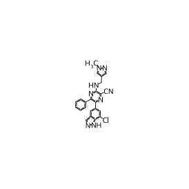 Cn1cc(CNc2nc(-c3ccccc3)c(-c3cc(Cl)c4[nH]ncc4c3)nc2C#N)cn1